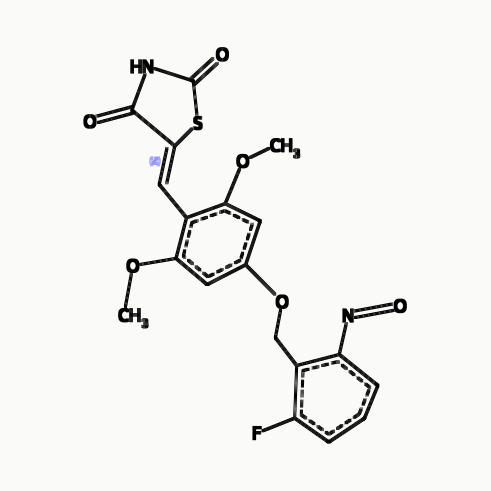 COc1cc(OCc2c(F)cccc2N=O)cc(OC)c1/C=C1\SC(=O)NC1=O